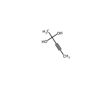 CC#CC(C)(O)O